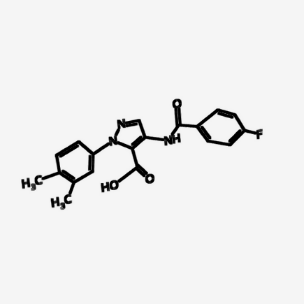 Cc1ccc(-n2ncc(NC(=O)c3ccc(F)cc3)c2C(=O)O)cc1C